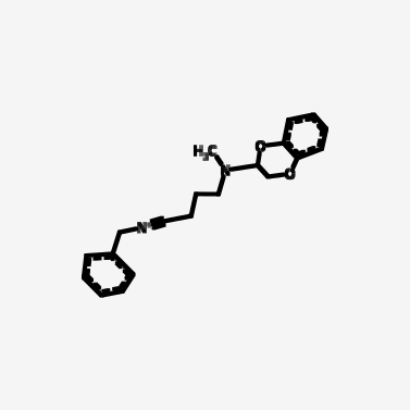 CN(CCCC#[N+]Cc1ccccc1)C1COc2ccccc2O1